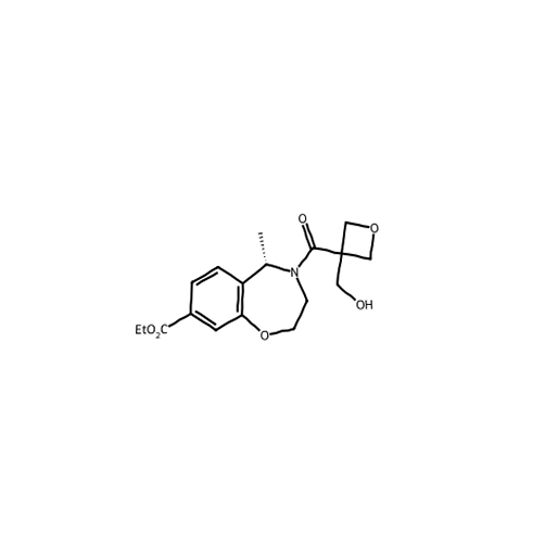 CCOC(=O)c1ccc2c(c1)OCCN(C(=O)C1(CO)COC1)[C@H]2C